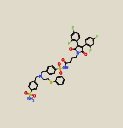 NS(=O)(=O)c1ccc(CN(CCSc2ccccc2)Cc2ccc(S(=O)(=O)NC(=O)CCCN3C(=O)C(c4ccc(F)cc4F)=C(c4ccc(F)cc4F)C3=O)cc2)cc1